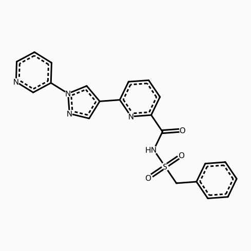 O=C(NS(=O)(=O)Cc1ccccc1)c1cccc(-c2cnn(-c3cccnc3)c2)n1